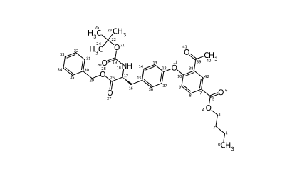 CCCCOC(=O)c1ccc(Oc2ccc(C[C@H](NC(=O)OC(C)(C)C)C(=O)OCc3ccccc3)cc2)c(C(C)=O)c1